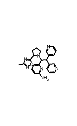 Cc1noc(C2CCCN2C(c2cccc(N)n2)C(c2cccnc2)c2cccnc2)n1